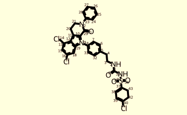 O=C(NCCc1ccc(-n2c3c(c4c(Cl)cc(Cl)cc42)CCN(c2ccccc2)C3=O)cc1)NS(=O)(=O)C1=CC=C(Cl)CC1